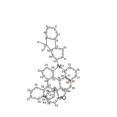 CC1(C)c2ccccc2-c2ccc(N(c3ccccc3)c3cccc(-c4cccc5ccccc45)c3-c3cccc4oc5ccccc5c34)cc21